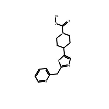 CC(C)(C)OC(=O)N1CCC(c2cnc(Cc3ccccn3)s2)CC1